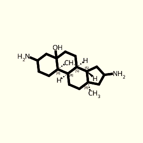 C[C@]12CC[C@@H]3[C@@H](CCC4(O)CC(N)CC[C@]34C)[C@@H]1CC(N)C2